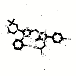 CC1(C)CN(c2nc(Cn3nc(-c4ccc(Cl)cc4)n(C[C@H](O)C(F)(F)F)c3=O)nn2-c2ccccc2Cl)CCO1